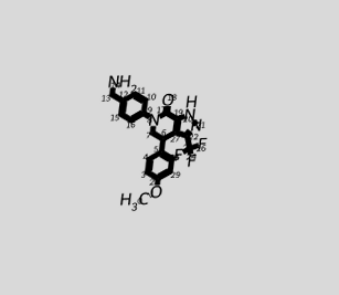 COc1ccc(C2CN(c3ccc(CN)cc3)C(=O)c3[nH]nc(C(F)(F)F)c32)cc1